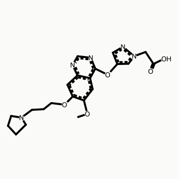 COc1cc2c(Oc3cnn(CC(=O)O)c3)ncnc2cc1OCCCN1CCCC1